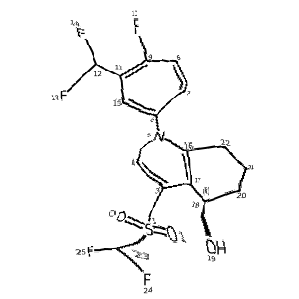 O=S(=O)(c1cn(-c2ccc(F)c(C(F)F)c2)c2c1[C@H](O)CCC2)C(F)F